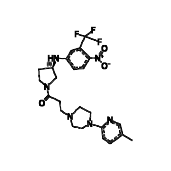 Cc1ccc(N2CCN(CCC(=O)N3CC[C@@H](Nc4ccc([N+](=O)[O-])c(C(F)(F)F)c4)C3)CC2)nc1